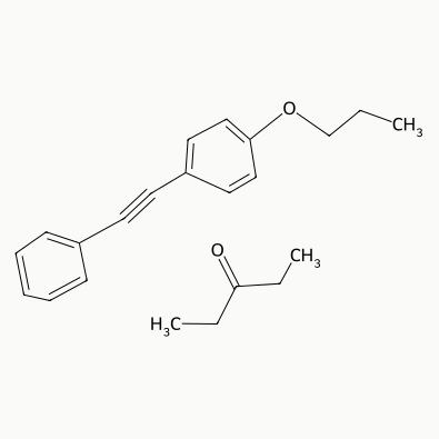 CCC(=O)CC.CCCOc1ccc(C#Cc2ccccc2)cc1